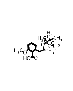 COc1cccc(CC(C)O[Si](C)(C)C(C)(C)C)c1C(=O)O